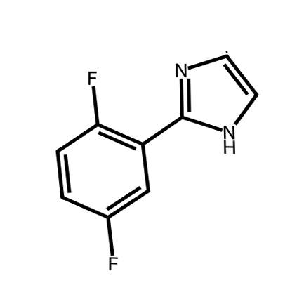 Fc1ccc(F)c(-c2n[c]c[nH]2)c1